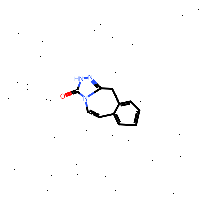 O=c1[nH]nc2n1C=Cc1ccccc1C2